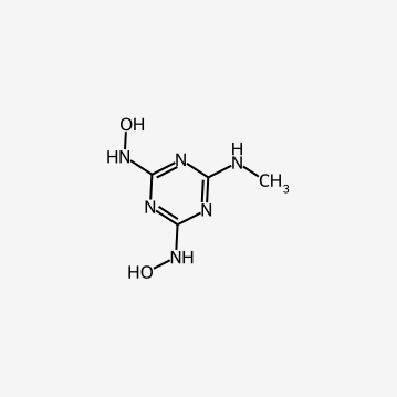 CNc1nc(NO)nc(NO)n1